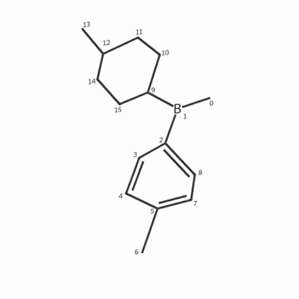 CB(c1ccc(C)cc1)C1CCC(C)CC1